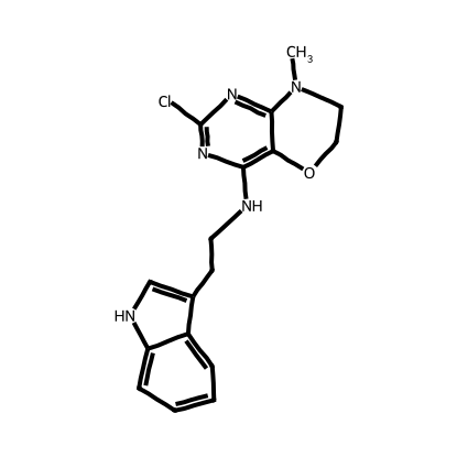 CN1CCOc2c(NCCc3c[nH]c4ccccc34)nc(Cl)nc21